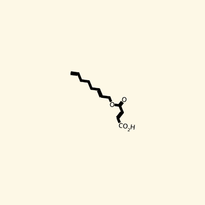 C=CCCCC=CCOC(=O)C=CC(=O)O